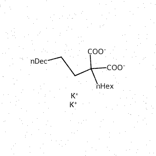 CCCCCCCCCCCCC(CCCCCC)(C(=O)[O-])C(=O)[O-].[K+].[K+]